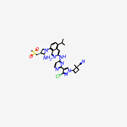 CC(C)c1ccc(N2C[C@H](CS(C)(=O)=O)[C@H]2N)c2cnc(Nc3ccnc(-c4cn(C5CCC5(C)C#N)nc4Cl)n3)cc12